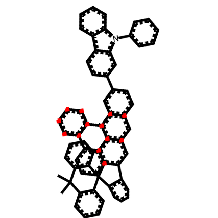 CC1(C)c2ccccc2C2(c3ccccc3-c3ccc(N(c4cccc(-c5ccc6c7ccccc7n(-c7ccccc7)c6c5)c4)c4ccccc4-c4ccccc4-c4ccccc4-c4ccccc4)cc32)c2ccccc21